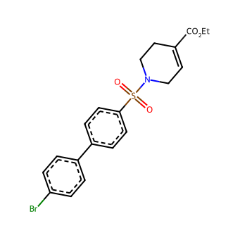 CCOC(=O)C1=CCN(S(=O)(=O)c2ccc(-c3ccc(Br)cc3)cc2)CC1